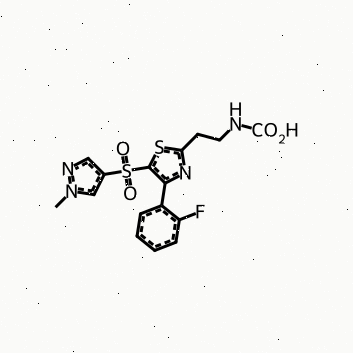 Cn1cc(S(=O)(=O)c2sc(CCNC(=O)O)nc2-c2ccccc2F)cn1